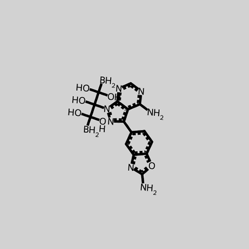 BC(O)(O)C(O)(n1nc(-c2ccc3oc(N)nc3c2)c2c(N)ncnc21)C(B)(O)O